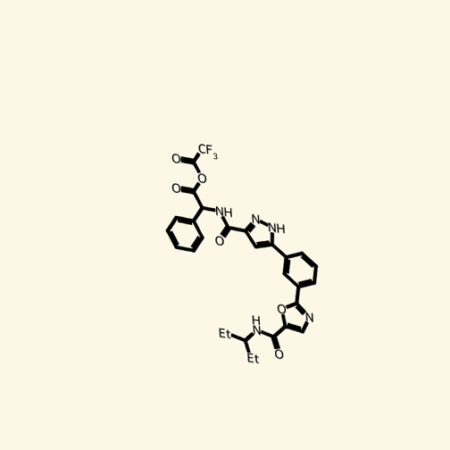 CCC(CC)NC(=O)c1cnc(-c2cccc(-c3cc(C(=O)NC(C(=O)OC(=O)C(F)(F)F)c4ccccc4)n[nH]3)c2)o1